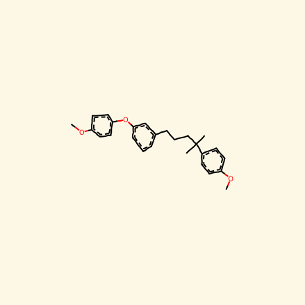 COc1ccc(Oc2cccc(CCCC(C)(C)c3ccc(OC)cc3)c2)cc1